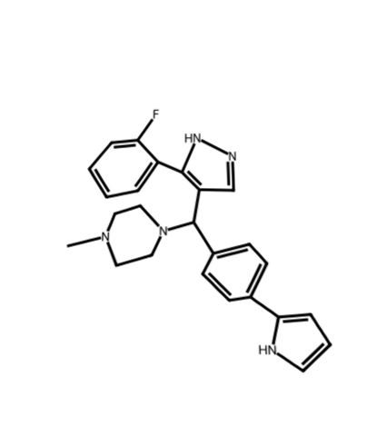 CN1CCN(C(c2ccc(-c3ccc[nH]3)cc2)c2cn[nH]c2-c2ccccc2F)CC1